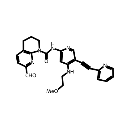 COCCNc1cc(NC(=O)N2CCCc3ccc(C=O)nc32)ncc1C#Cc1ccccn1